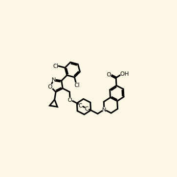 O=C(O)c1ccc2c(c1)CN(CC13CCC(OCc4c(-c5c(Cl)cccc5Cl)noc4C4CC4)(CC1)CC3)CC2